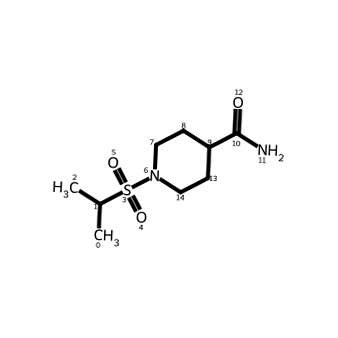 CC(C)S(=O)(=O)N1CCC(C(N)=O)CC1